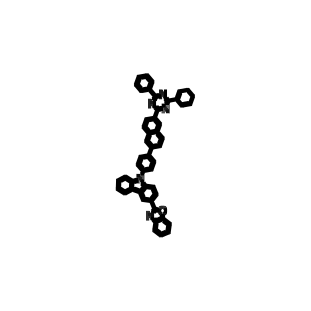 C1=CC(c2nc(-c3ccccc3)nc(-c3ccc4cc(-c5ccc(-n6c7ccccc7c7cc(-c8nc9ccccc9o8)ccc76)cc5)ccc4c3)n2)=CCC1